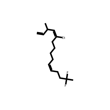 C=CC(C)/C=C(/CC)CCCC/C=C\CCC(C)(F)F